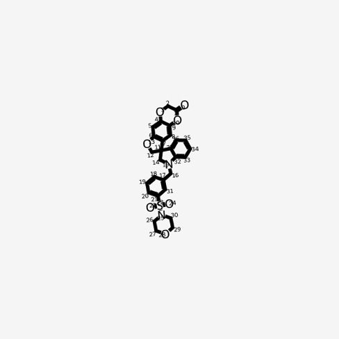 O=C1COc2cc3c(cc2O1)C1(CO3)CN(Cc2cccc(S(=O)(=O)N3CCOCC3)c2)c2ccccc21